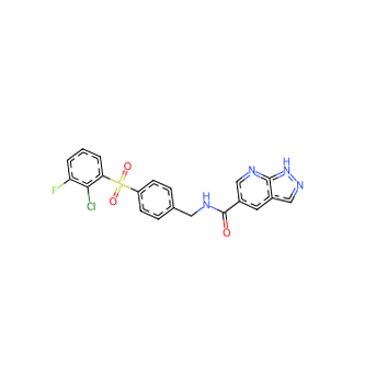 O=C(NCc1ccc(S(=O)(=O)c2cccc(F)c2Cl)cc1)c1cnc2[nH]ncc2c1